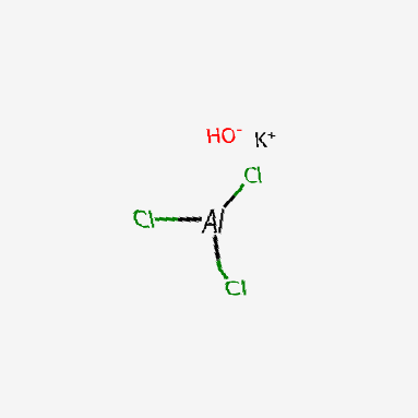 [Cl][Al]([Cl])[Cl].[K+].[OH-]